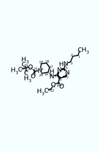 CCCCNc1ncc(C(=O)OCC)c(N[C@H]2CCCN(C(=O)OC(C)(C)C)C2)n1